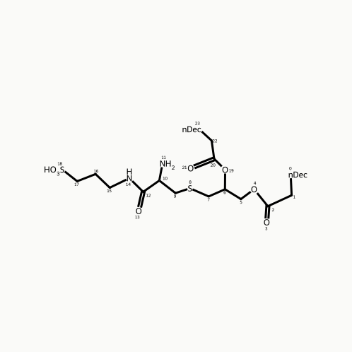 CCCCCCCCCCCC(=O)OCC(CSCC(N)C(=O)NCCCS(=O)(=O)O)OC(=O)CCCCCCCCCCC